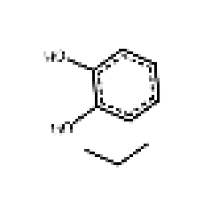 CCC.Oc1ccccc1O